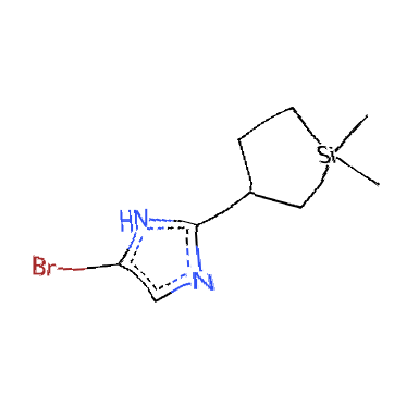 C[Si]1(C)CCC(c2ncc(Br)[nH]2)C1